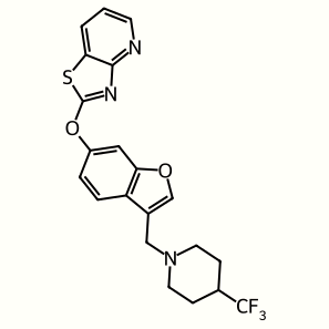 FC(F)(F)C1CCN(Cc2coc3cc(Oc4nc5ncccc5s4)ccc23)CC1